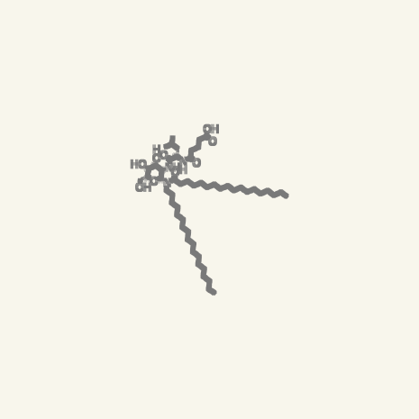 CCCCCCCCCCCCCCCCCCN(C(=O)CCCCCCCCCCCCCCCCC)[C@@H]1O[C@H](CO)[C@@H](O)[C@H](O)[C@@H]1NC(=O)[C@H](CC(C)C)NC(=O)CCCC(=O)O